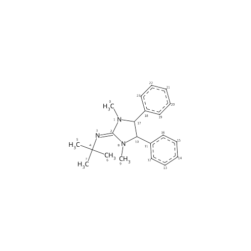 CN1C(=NC(C)(C)C)N(C)C(c2ccccc2)C1c1ccccc1